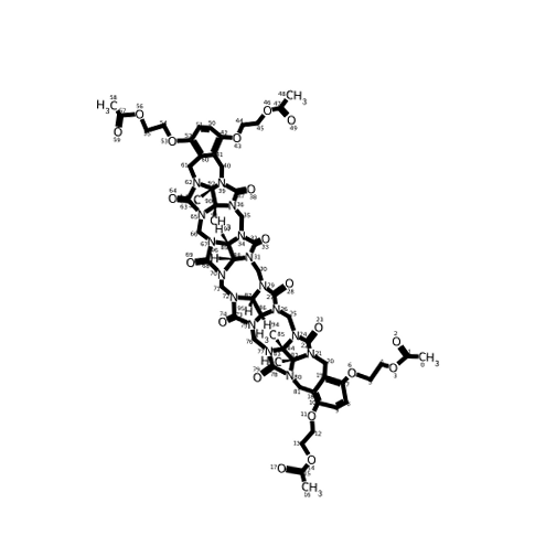 CC(=O)OCCOc1ccc(OCCOC(C)=O)c2c1CN1C(=O)N3CN4C(=O)N5CN6C(=O)N7CN8C(=O)N9Cc%10c(OCCOC(C)=O)ccc(OCCOC(C)=O)c%10CN%10C(=O)N(CN%11C(=O)N(CN%12C(=O)N(CN%13C(=O)N(C2)[C@]1(C)[C@]%133C)[C@@H]4[C@@H]5%12)[C@@H]6[C@@H]7%11)[C@]8(C)[C@]%109C